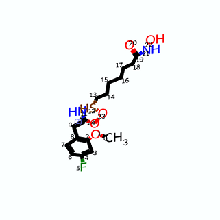 COc1cc(F)ccc1/C=C1/N[SH](CCCCCCC(=O)NO)OO1